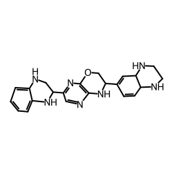 C1=CC2NCCNC2C=C1C1COc2nc(C3CNc4ccccc4N3)cnc2N1